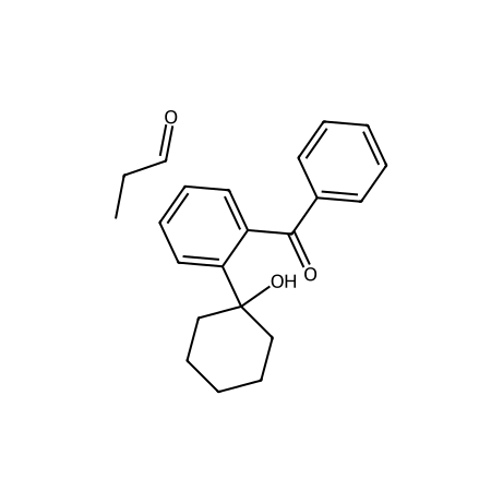 CCC=O.O=C(c1ccccc1)c1ccccc1C1(O)CCCCC1